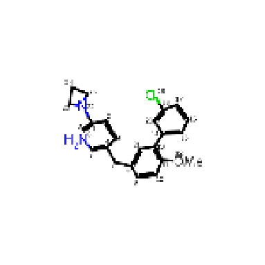 C=C(/C=C\C(=C/N)Cc1ccc(OC)c(-c2cccc(Cl)c2)c1)N1CCC1